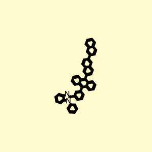 c1ccc(-n2c(-c3cccc(-c4c5ccccc5c(-c5ccc6cc(-c7ccc8ccccc8c7)ccc6c5)c5ccccc45)c3)nc3ccccc32)cc1